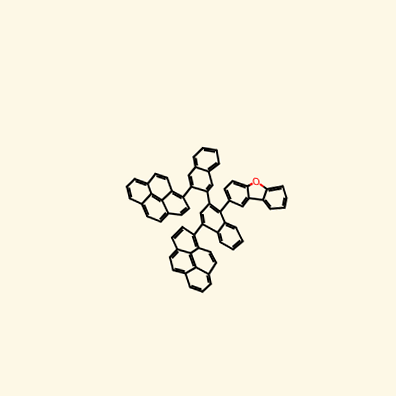 c1ccc2cc(-c3ccc4ccc5cccc6ccc3c4c56)c(-c3cc(-c4ccc5ccc6cccc7ccc4c5c67)c4ccccc4c3-c3ccc4oc5ccccc5c4c3)cc2c1